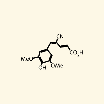 COc1cc(C=C(C#N)C=CC(=O)O)cc(OC)c1O